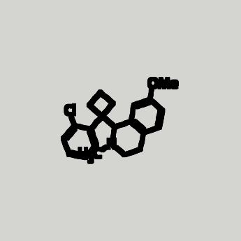 COc1ccc2c(c1)C(C1(c3ccccc3Cl)CCC1)N(C)CC2